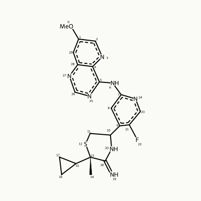 COc1cnc2c(Nc3cc(C4CS[C@@](C)(C5CC5)C(=N)N4)c(F)cn3)ncnc2c1